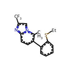 CCSc1ccccc1-c1ccc2nc(C(F)(F)F)cn2c1C